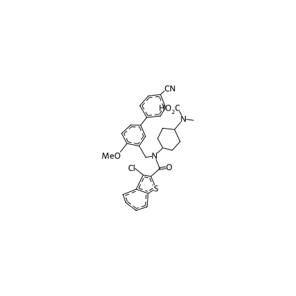 COc1ccc(-c2ccc(C#N)cc2)cc1CN(C(=O)c1sc2ccccc2c1Cl)C1CCC(N(C)C(=O)O)CC1